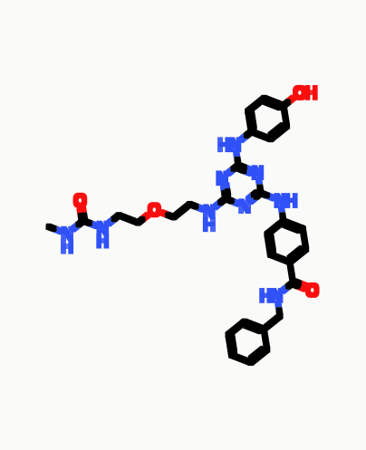 CNC(=O)NCCOCCNc1nc(Nc2ccc(O)cc2)nc(Nc2ccc(C(=O)NCc3ccccc3)cc2)n1